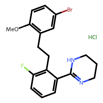 COc1ccc(Br)cc1CCc1c(F)cccc1C1=NCCCN1.Cl